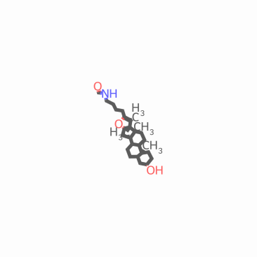 CC1=C(CCCCNC=O)OC2CC3C4CCC5CC(O)CCC5(C)C4CCC3(C)C12C